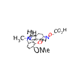 COc1ccc2c3c1O[C@H]1/C(=N/OCC(=O)O)CC[C@H]4[C@@H](C2)N(C)CC[C@]314